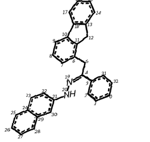 c1ccc(C(Cc2cccc3c2Cc2ccccc2-3)=NNc2ccc3ccccc3c2)cc1